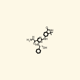 CC1(C)NC(=O)c2ccc(Nc3ncc(C(=O)NN)c(N[C@H](CO)c4ccccc4)n3)cc21